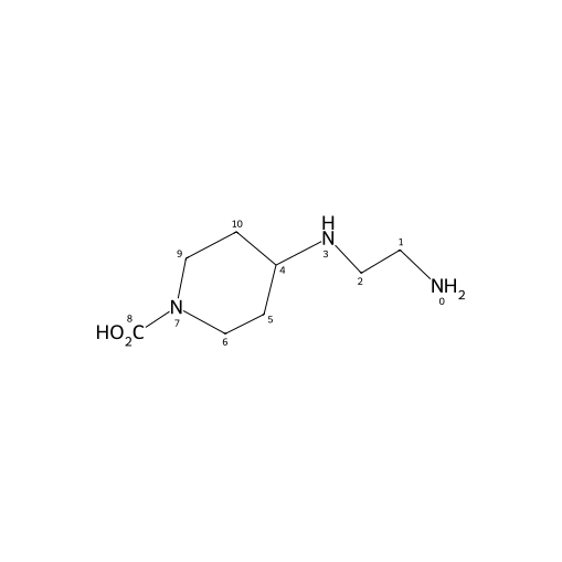 NCCNC1CCN(C(=O)O)CC1